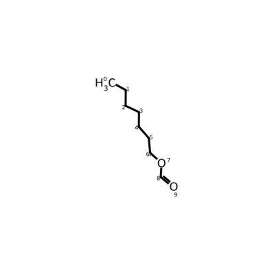 CCCCCC[CH]OC=O